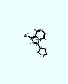 Brc1nc(C2CCOC2)n2ccncc12